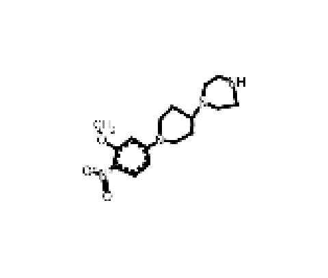 COc1cc(N2CCC(N3CCNCC3)CC2)ccc1[N+](=O)[O-]